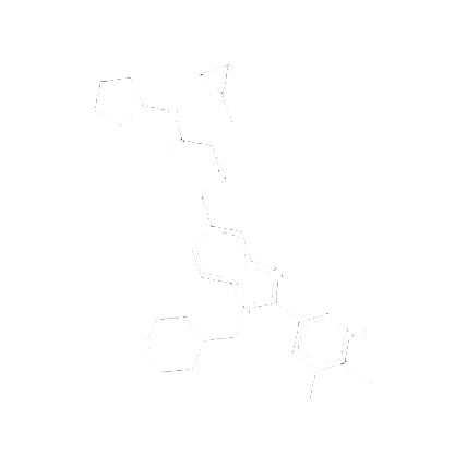 Cc1cc(-c2nc3cc(CN[C@@H](CC4CC4)C(=O)OC4CCCC4)ccc3n2CC2CCOCC2)c[nH]c1=O